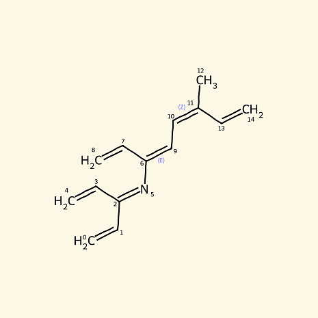 C=CC(C=C)=N/C(C=C)=C/C=C(/C)C=C